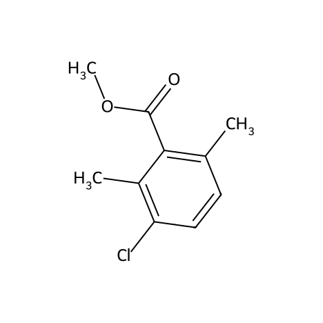 COC(=O)c1c(C)ccc(Cl)c1C